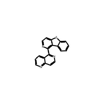 c1ccc2c(c1)sc1ccnc(-c3nccc4ncccc34)c12